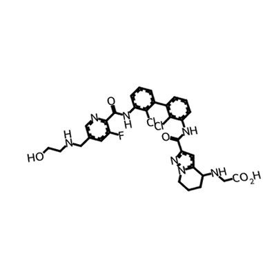 O=C(O)CNC1CCCn2nc(C(=O)Nc3cccc(-c4cccc(NC(=O)c5ncc(CNCCO)cc5F)c4Cl)c3Cl)cc21